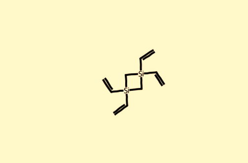 C=C[Si]1(C=C)C[Si](C=C)(C=C)C1